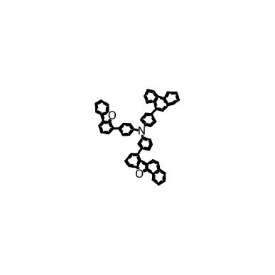 c1cc(-c2cccc3oc4c5ccccc5ccc4c23)cc(N(c2ccc(-c3cc4ccccc4c4ccccc34)cc2)c2ccc(-c3cccc4c3oc3ccccc34)cc2)c1